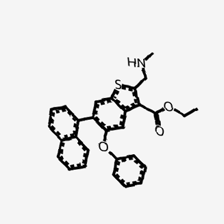 CCOC(=O)c1c(CNC)sc2cc(-c3cccc4ccccc34)c(Oc3ccccc3)cc12